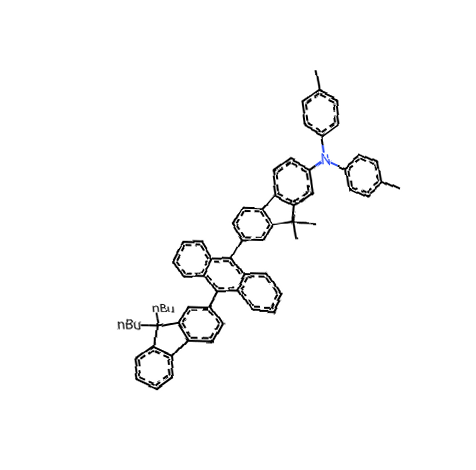 CCCCC1(CCCC)c2ccccc2-c2ccc(-c3c4ccccc4c(-c4ccc5c(c4)C(C)(C)c4cc(N(c6ccc(C)cc6)c6ccc(C)cc6)ccc4-5)c4ccccc34)cc21